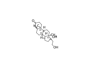 C[C@]12CCC(=O)C=C1CC[C@@H]1[C@@H]2CC[C@@]2(C)[C@H]1CC[C@]2(O)CCO